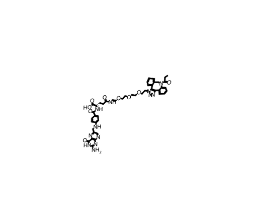 CCC(=O)N1Cc2ccccc2-c2c(nnn2CCOCCOCCOCCNC(=O)CC[C@H](NC(=O)c2ccc(NCc3cnc4nc(N)[nH]c(=O)c4n3)cc2)C(=O)O)-c2ccccc21